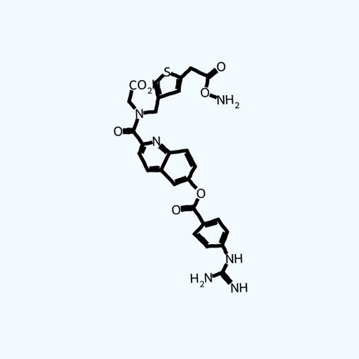 N=C(N)Nc1ccc(C(=O)Oc2ccc3nc(C(=O)N(CC(=O)O)Cc4csc(CC(=O)ON)c4)ccc3c2)cc1